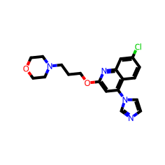 Clc1ccc2c(-n3ccnc3)cc(OCCCN3CCOCC3)nc2c1